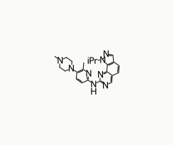 Cc1nc(Nc2ncc3ccc4cnn(C(C)C)c4c3n2)ccc1N1CCN(C)CC1